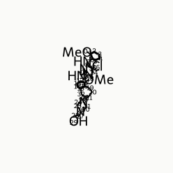 COc1ccccc1Nc1nc(Nc2ccc3c(c2OC)CCC[C@@H](N2CCN(CCO)CC2)C3)ncc1Cl